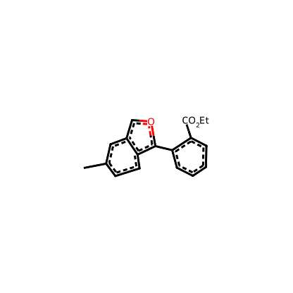 CCOC(=O)c1ccccc1-c1occ2cc(C)ccc12